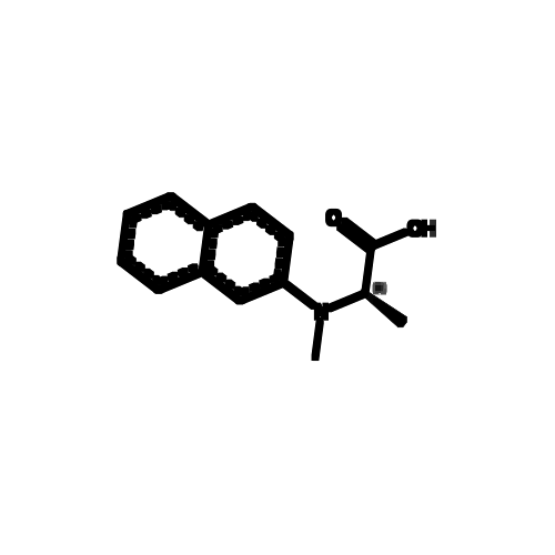 C[C@H](C(=O)O)N(C)c1ccc2ccccc2c1